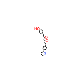 O=C(C=Cc1ccc(O)cc1)CC(=O)C=Cc1ccc(-c2ccccn2)cc1